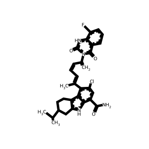 C=C(/C=C\C=C(/C)c1c(Cl)cc(C(N)=O)c2[nH]c3c(c12)CCC(C(C)C)C3)n1c(=O)[nH]c2c(F)cccc2c1=O